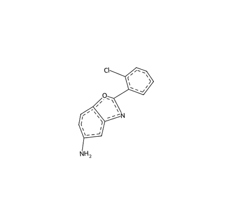 Nc1ccc2oc(-c3ccccc3Cl)nc2c1